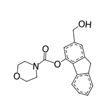 O=C(Oc1cc(CO)cc2c1-c1ccccc1C2)N1CCOCC1